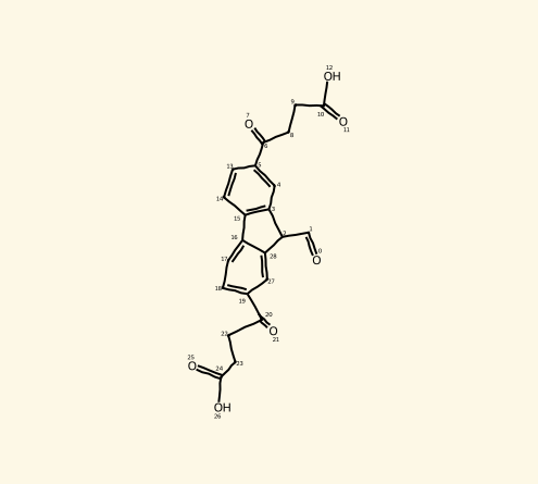 O=CC1c2cc(C(=O)CCC(=O)O)ccc2-c2ccc(C(=O)CCC(=O)O)cc21